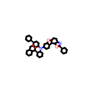 c1ccc(-c2ccc(N(c3ccc4c(c3)oc3ccc5nc(-c6ccccc6)oc5c34)c3ccccc3-c3cccc4ccccc34)cc2)cc1